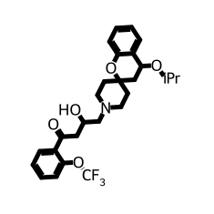 CC(C)OC1CC2(CCN(CC(O)CC(=O)c3ccccc3OC(F)(F)F)CC2)Oc2ccccc21